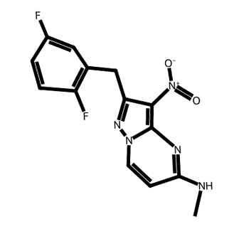 CNc1ccn2nc(Cc3cc(F)ccc3F)c([N+](=O)[O-])c2n1